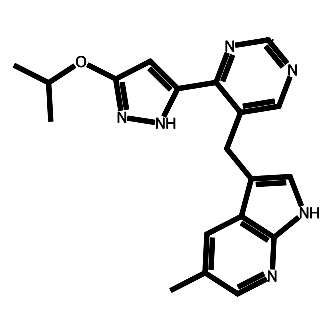 Cc1cnc2[nH]cc(Cc3cn[c]nc3-c3cc(OC(C)C)n[nH]3)c2c1